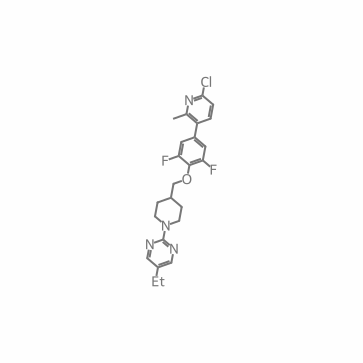 CCc1cnc(N2CCC(COc3c(F)cc(-c4ccc(Cl)nc4C)cc3F)CC2)nc1